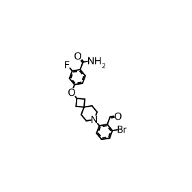 NC(=O)c1ccc(OC2CC3(CCN(c4cccc(Br)c4C=O)CC3)C2)cc1F